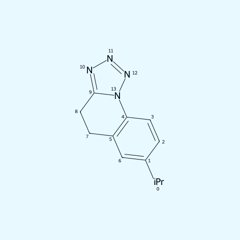 CC(C)c1ccc2c(c1)CCc1nnnn1-2